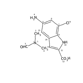 CN(C)C=O.Nc1cc(Cl)c2[nH]c(C(=O)O)cc2c1